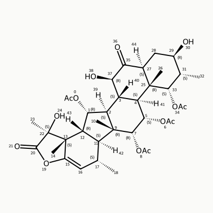 CC(=O)O[C@@H]1[C@H]2[C@H]3[C@H]([C@H](OC(C)=O)[C@H](OC(C)=O)[C@]2(C)[C@@H]2[C@@H]1[C@]1(C)C(=C[C@H]2C)OC(=O)[C@@]1(C)O)[C@]1(C)[C@H](C[C@@H](O)[C@H](C)[C@@H]1OC(C)=O)C(=O)[C@@H]3O